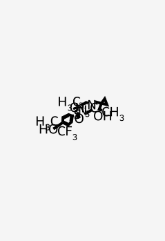 C[C@@H]1CN(CC2(C(C)(C)O)CC2)CCN1S(=O)(=O)c1ccc(C(C)(O)C(F)(F)F)cc1